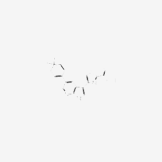 CC1(C)C=CC(c2cnc3[nH]cc(-c4csc(C(=O)O)n4)c3c2)=CC1